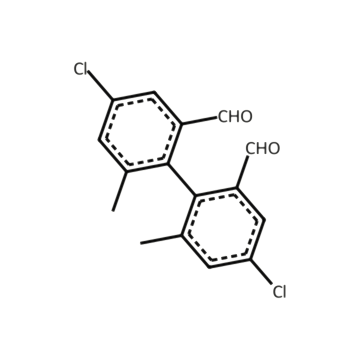 Cc1cc(Cl)cc(C=O)c1-c1c(C)cc(Cl)cc1C=O